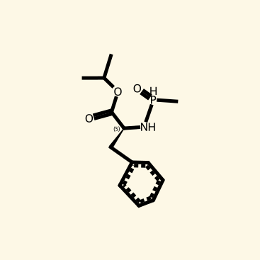 CC(C)OC(=O)[C@H](Cc1ccccc1)N[PH](C)=O